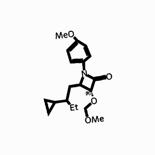 CCC(CC1[C@@H](OCOC)C(=O)N1c1ccc(OC)cc1)C1CC1